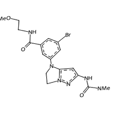 CNC(=O)Nc1cc2n(n1)CCN2c1cc(Br)cc(C(=O)NCCOC)c1